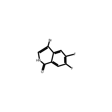 O=c1[nH]cc(Br)c2cc(F)c(F)cc12